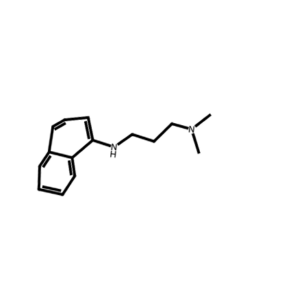 CN(C)CCCNc1cccc2ccccc12